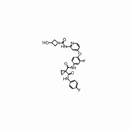 O=C(Nc1cc(Oc2ccc(NC(=O)C3(C(=O)Nc4ccc(F)cc4)CC3)cc2F)ccn1)N1CC(O)C1